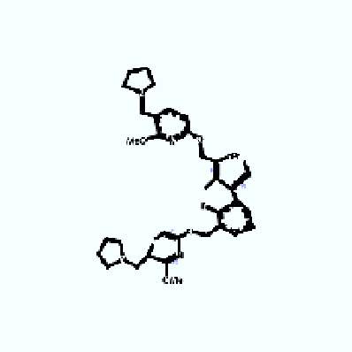 C/C=C(\N=C(\OC)C(C)CN1CCCC1)OCc1cccc(C(=C/C)/C(C)=C(\CCC)COc2ccc(CN3CCCC3)c(OC)n2)c1F